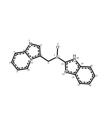 [O-][S+](Cc1cnc2ccccn12)c1nc2ccccc2[nH]1